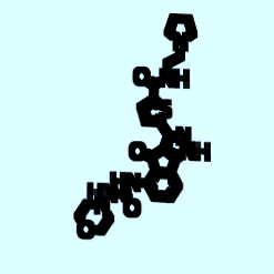 O=C(Nc1cccc2c1C(=O)c1c(-c3ccc(C(=O)NCCN4CCCC4)s3)n[nH]c1-2)NN1CCOCC1